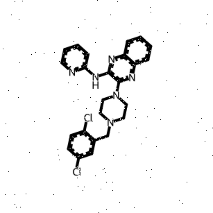 Clc1ccc(Cl)c(CN2CCN(c3nc4ccccc4nc3Nc3ccccn3)CC2)c1